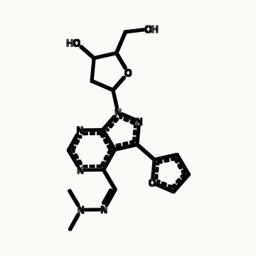 CN(C)/N=C\c1ncnc2c1c(-c1ccco1)nn2C1CC(O)C(CO)O1